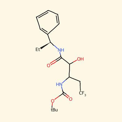 CC[C@H](NC(=O)C(O)C(CC(F)(F)F)NC(=O)OC(C)(C)C)c1ccccc1